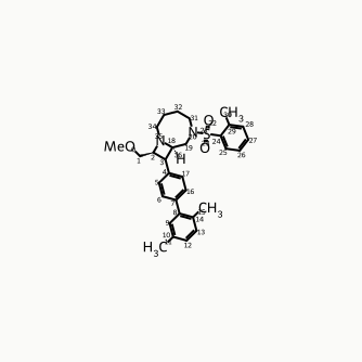 COC[C@@H]1C(c2ccc(-c3cc(C)ccc3C)cc2)[C@@H]2CN(S(=O)(=O)c3ccccc3C)CCCCN12